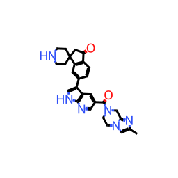 Cc1cn2c(n1)CN(C(=O)c1cnc3[nH]cc(-c4ccc5c(c4)C4(CCNCC4)CC5=O)c3c1)CC2